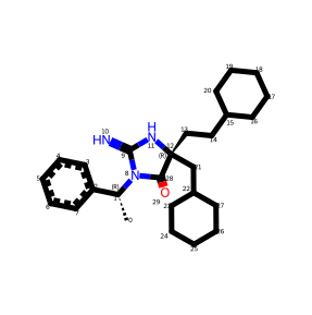 C[C@H](c1ccccc1)N1C(=N)N[C@](CCC2CCCCC2)(CC2CCCCC2)C1=O